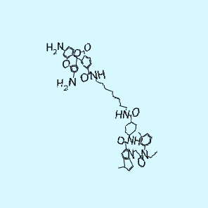 CCN(C(=O)Cn1c(C(=O)N[C@H]2CC[C@H](C(=O)NCCCCCCCCNC(=O)c3ccc4c(c3)C3(OC4=O)c4ccc(N)cc4Oc4cc(N)ccc43)CC2)cc2c1C=CC2C)c1cccc(C)c1